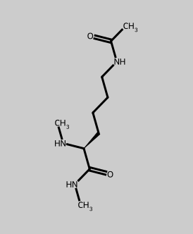 CNC(=O)[C@H](CCCCNC(C)=O)NC